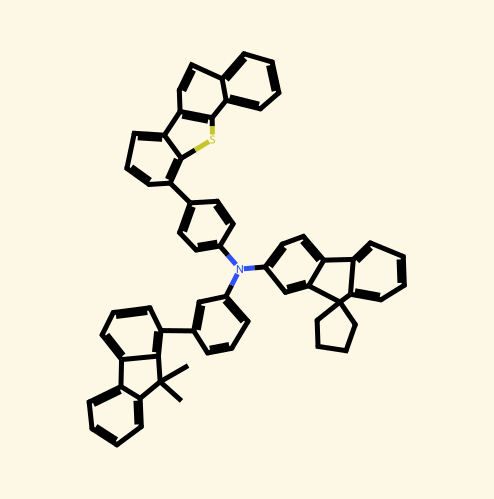 CC1(C)c2ccccc2-c2cccc(-c3cccc(N(c4ccc(-c5cccc6c5sc5c7ccccc7ccc65)cc4)c4ccc5c(c4)C4(CCCC4)c4ccccc4-5)c3)c21